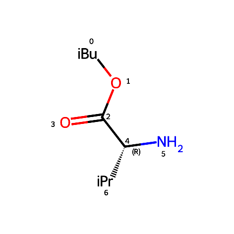 CCC(C)OC(=O)[C@H](N)C(C)C